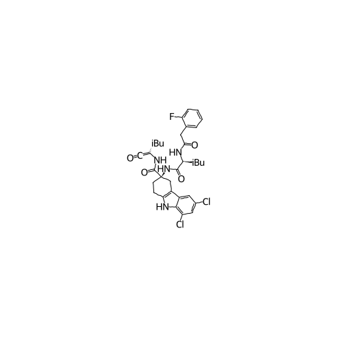 CCC(C)[C@H](NC(=O)Cc1ccccc1F)C(=O)N[C@]1(C(=O)NC(=C=O)[C@@H](C)CC)CCc2[nH]c3c(Cl)cc(Cl)cc3c2C1